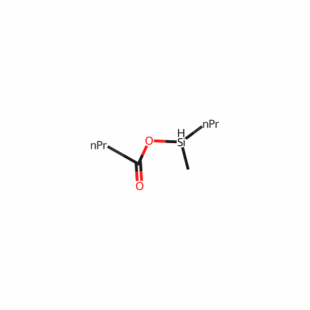 CCCC(=O)O[SiH](C)CCC